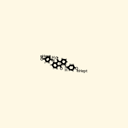 CCCCCCCOc1ccc(Nc2cccc3c2C(=O)c2cccc(Nc4ccc(OCCCCCCC)cc4)c2C3=O)cc1